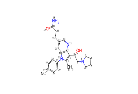 Cc1c(C(O)CN2CCCC2)c2ncc(CCC(N)=O)cc2n1-c1ccc(C#N)cc1